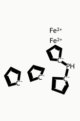 [Fe+2].[Fe+2].c1cc[c-](P[c-]2cccc2)c1.c1cc[cH-]c1.c1cc[cH-]c1